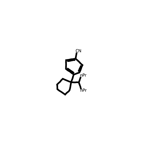 CCCC(CCC)C1(c2ccc(C#N)cc2)CCCCC1